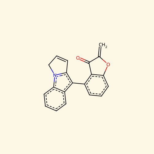 C=C1Oc2cccc(-c3c4n(c5ccccc35)CC=C4)c2C1=O